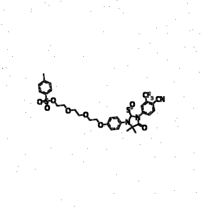 Cc1ccc(S(=O)(=O)OCCOCCOCCOc2ccc(N3C([S+]=O)N(c4ccc(C#N)c(C(F)(F)F)c4)C(=O)C3(C)C)cc2)cc1